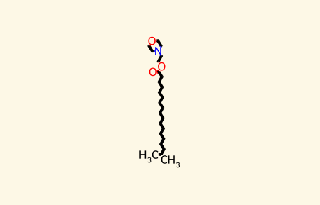 CC(C)CCCCCCCCCCCCCCCC(=O)OCCN1CCOCC1